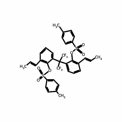 CC=Cc1cccc(C(c2cccc(C=CC)c2OS(=O)(=O)c2ccc(C)cc2)(C(F)(F)F)C(F)(F)F)c1OS(=O)(=O)c1ccc(C)cc1